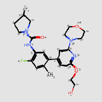 Cc1cc(F)c(NC(=O)N2CCC(C(F)(F)F)C2)cc1-c1cc(OCCO)nc(N2CCOCC2)c1